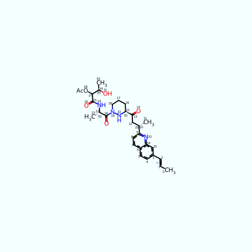 C/C=C/c1ccc2ccc([C@@H](C)CC(=O)[C@@H]3CCCN(C(=O)[C@H](C)NC(=O)C(OC(C)=O)[C@@H](C)O)N3)nc2c1